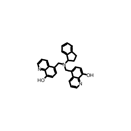 Oc1ccc(CN(Cc2ccc(O)c3ncccc23)C2CCc3ccccc32)c2cccnc12